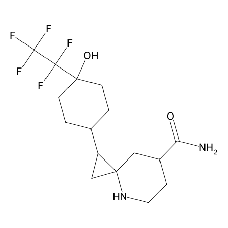 NC(=O)C1CCNC2(C1)CC2C1CCC(O)(C(F)(F)C(F)(F)F)CC1